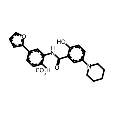 O=C(Nc1cc(-c2ccco2)ccc1C(=O)O)c1cc(N2CCCCC2)ccc1O